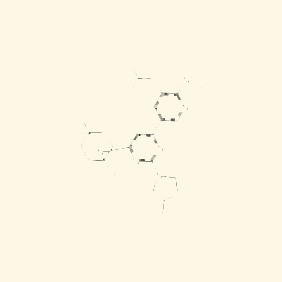 Nc1ncc(-c2cc(N3C[C@@H]4CC[C@H]3CO4)nc(N3CCC(F)C3)n2)cc1OC(F)F